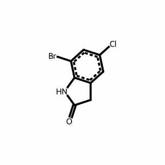 O=C1Cc2cc(Cl)cc(Br)c2N1